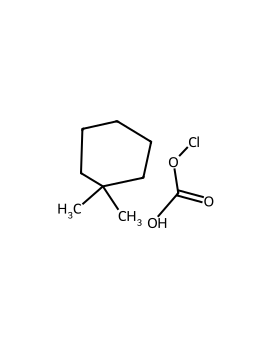 CC1(C)CCCCC1.O=C(O)OCl